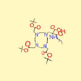 CCCC(=O)C(N)(CN1CCN(CC(=O)OC(C)(C)C)CCN(CC(=O)OC(C)(C)C)CCN(CC(=O)OC(C)(C)C)CC1)C(=O)O